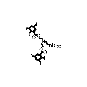 CCCCCCCCCCCCN(CCOC(=O)c1cc(I)cc(I)c1I)CCOC(=O)c1cc(I)cc(I)c1I